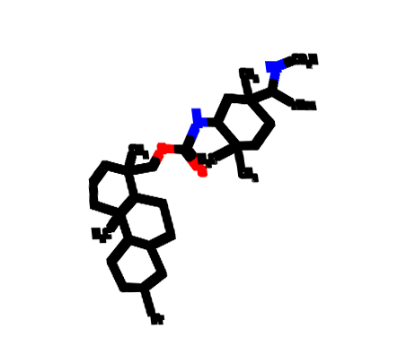 CCCCCCC(NC(=O)O)C1(C)CCC(C)(C)C(NC(=O)OCC2(C)CCCC3(C)C4CCC(C(C)C)CC4CCC23)C1